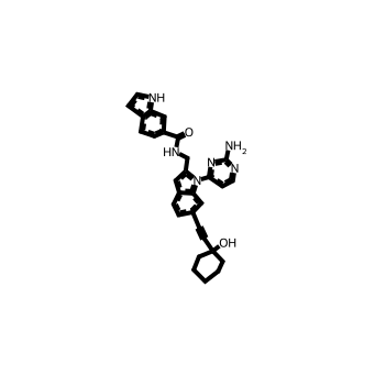 Nc1nccc(-n2c(CNC(=O)c3ccc4cc[nH]c4c3)cc3ccc(C#CC4(O)CCCCC4)cc32)n1